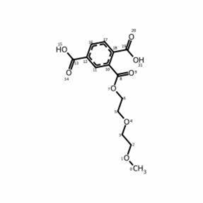 COCCOCCOC(=O)c1cc(C(=O)O)ccc1C(=O)O